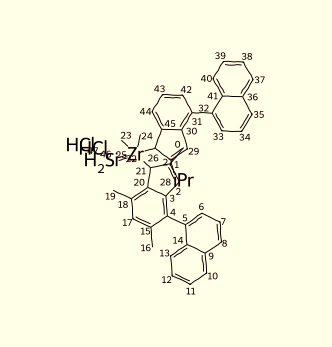 CC1=Cc2c(-c3cccc4ccccc34)c(C)cc(C)c2[CH]1[Zr]([CH3])([CH3])(=[SiH2])[CH]1C(C(C)C)=Cc2c(-c3cccc4ccccc34)cccc21.Cl.Cl